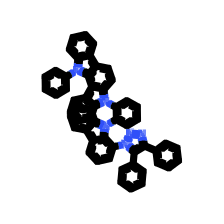 c1ccc(-c2nnn(-c3cccc4c5ccccc5n(-c5ccccc5-n5c6ccccc6c6c5ccc5c7ccccc7n(-c7ccccc7)c56)c34)c2-c2ccccc2)cc1